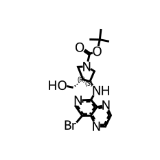 CC(C)(C)OC(=O)N1C[C@@H](CO)[C@H](Nc2ncc(Br)c3nccnc23)C1